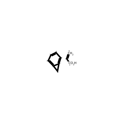 C=CC(=O)O.c1ccc2c(c1)C2